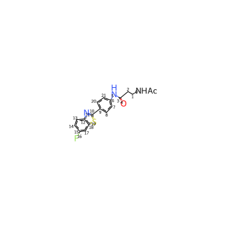 CC(=O)NCCC(=O)Nc1ccc(-c2nc3ccc(F)cc3s2)cc1